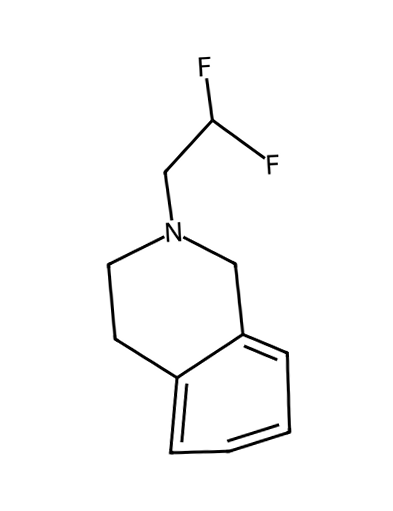 FC(F)CN1CCc2ccccc2C1